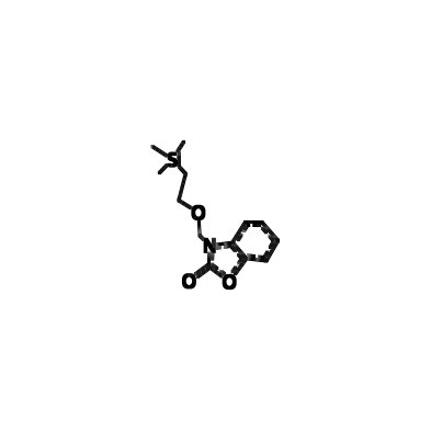 C[Si](C)(C)CCOCn1c(=O)oc2ccccc21